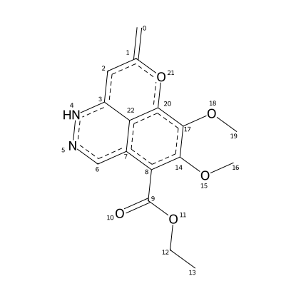 C=c1cc2[nH]ncc3c(C(=O)OCC)c(OC)c(OC)c(o1)c3-2